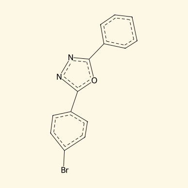 Brc1ccc(-c2nnc(-c3ccccc3)o2)cc1